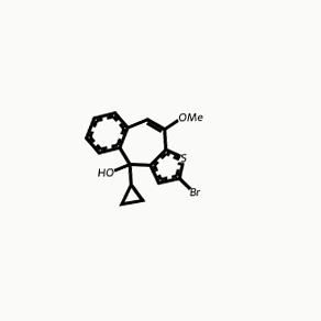 COC1=Cc2ccccc2C(O)(C2CC2)c2cc(Br)sc21